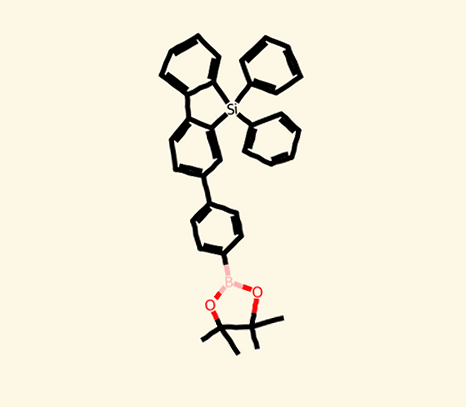 CC1(C)OB(c2ccc(-c3ccc4c(c3)[Si](c3ccccc3)(c3ccccc3)c3ccccc3-4)cc2)OC1(C)C